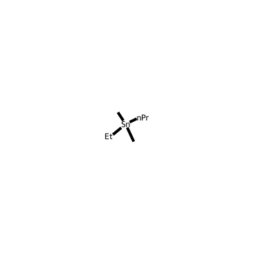 CC[CH2][Sn]([CH3])([CH3])[CH2]C